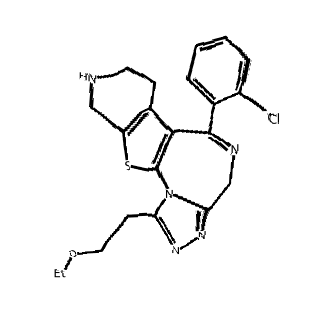 CCOCCc1nnc2n1-c1sc3c(c1C(c1ccccc1Cl)=NC2)CCNC3